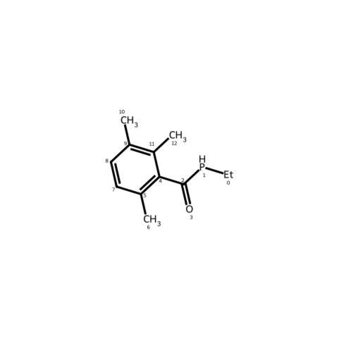 CCPC(=O)c1c(C)ccc(C)c1C